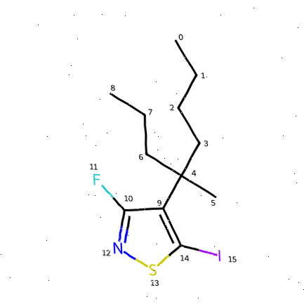 CCCCC(C)(CCC)c1c(F)nsc1I